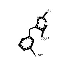 CCc1nc(Cc2cccc(OC)c2)c(C(=O)O)s1